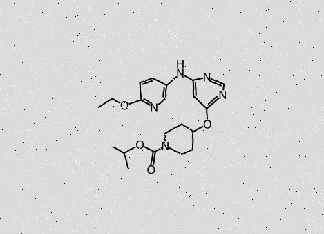 CCOc1ccc(Nc2cc(OC3CCN(C(=O)OC(C)C)CC3)ncn2)cn1